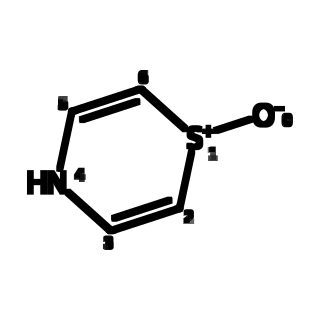 [O-][S+]1C=CNC=C1